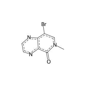 Cn1cc(Br)c2nccnc2c1=O